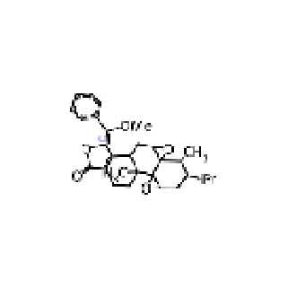 CO/C(=C1/OC(=O)C2=C1C1CC3OC34C(C)C(C(C)C)CC3OC34C1(C)CC2)c1ccccc1